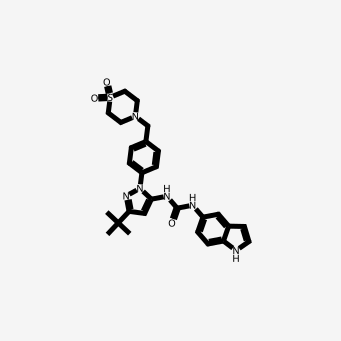 CC(C)(C)c1cc(NC(=O)Nc2ccc3[nH]ccc3c2)n(-c2ccc(CN3CCS(=O)(=O)CC3)cc2)n1